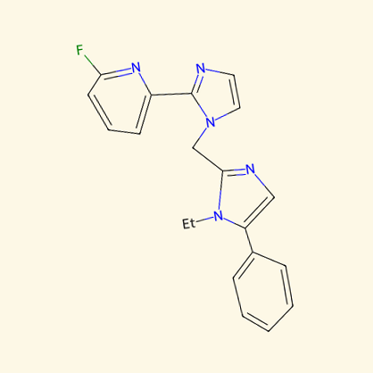 CCn1c(-c2ccccc2)cnc1Cn1ccnc1-c1cccc(F)n1